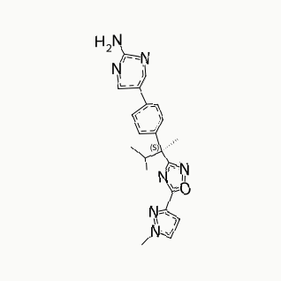 CC(C)[C@@](C)(c1ccc(-c2cnc(N)nc2)cc1)c1noc(-c2ccn(C)n2)n1